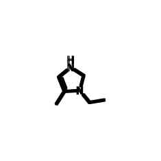 CCN1CNC=C1C